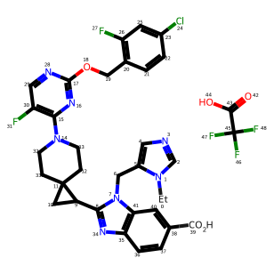 CCn1cncc1Cn1c(C2CC23CCN(c2nc(OCc4ccc(Cl)cc4F)ncc2F)CC3)nc2ccc(C(=O)O)cc21.O=C(O)C(F)(F)F